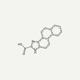 O=C(O)c1nc2c(ccc3c4ccccc4ccc32)[nH]1